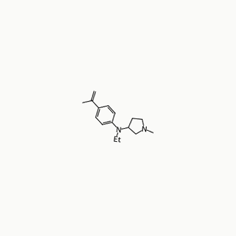 C=C(C)c1ccc(N(CC)C2CCN(C)C2)cc1